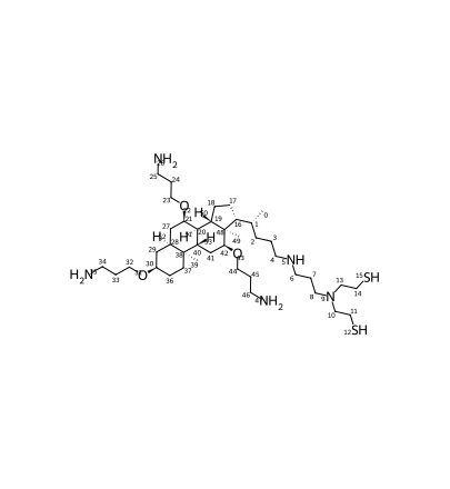 C[C@H](CCCNCCCN(CCS)CCS)[C@H]1CC[C@H]2[C@@H]3[C@H](OCCCN)C[C@@H]4C[C@H](OCCCN)CC[C@]4(C)[C@H]3C[C@H](OCCCN)[C@]12C